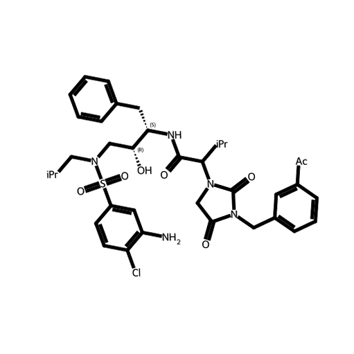 CC(=O)c1cccc(CN2C(=O)CN(C(C(=O)N[C@@H](Cc3ccccc3)[C@H](O)CN(CC(C)C)S(=O)(=O)c3ccc(Cl)c(N)c3)C(C)C)C2=O)c1